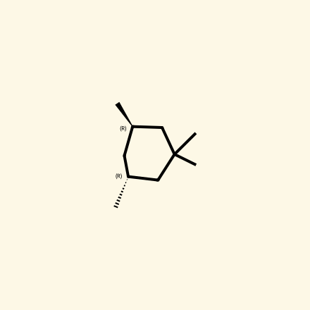 C[C@@H]1C[C@@H](C)CC(C)(C)C1